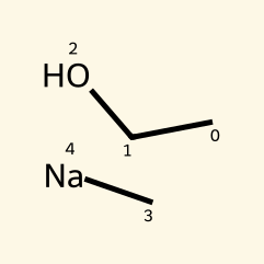 CCO.[CH3][Na]